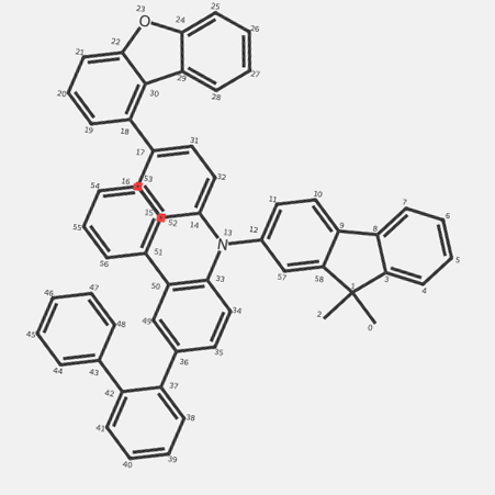 CC1(C)c2ccccc2-c2ccc(N(c3ccc(-c4cccc5oc6ccccc6c45)cc3)c3ccc(-c4ccccc4-c4ccccc4)cc3-c3ccccc3)cc21